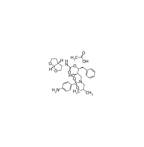 CC(=O)O.CC(C)CN(C[C@@H](O)[C@H](Cc1ccccc1)OC(=O)N[C@@H]1CO[C@@H]2OCC[C@@H]21)S(=O)(=O)c1ccc(N)cc1